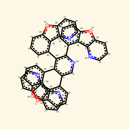 c1cnc2c(c1)oc1cccc(-c3cnc(-c4cccc5oc6cccnc6c45)c(-c4cccc5oc6cccnc6c45)c3-c3cccc4oc5cccnc5c34)c12